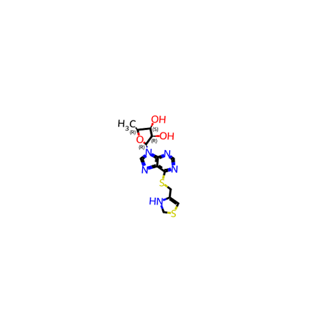 C[C@H]1O[C@@H](n2cnc3c(SCC4=CSCN4)ncnc32)[C@H](O)[C@@H]1O